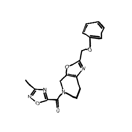 Cc1noc(C(=O)N2CCc3nc(COc4ccccc4)oc3C2)n1